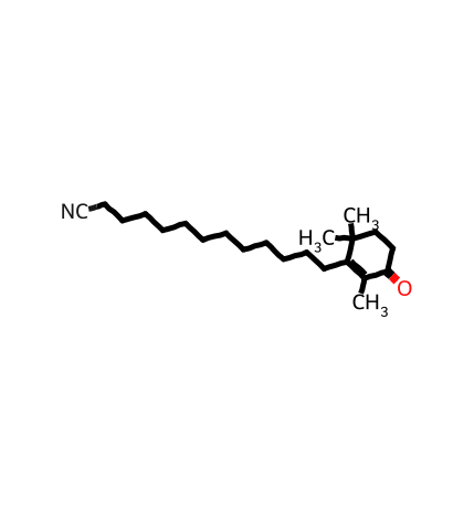 CC1=C(CCCCCCCCCCCCC#N)C(C)(C)CCC1=O